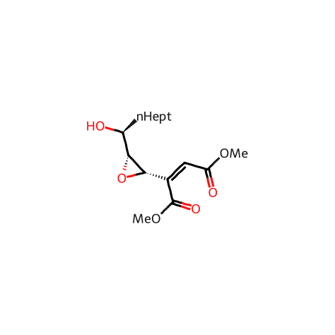 CCCCCCC[C@H](O)[C@H]1O[C@H]1/C(=C/C(=O)OC)C(=O)OC